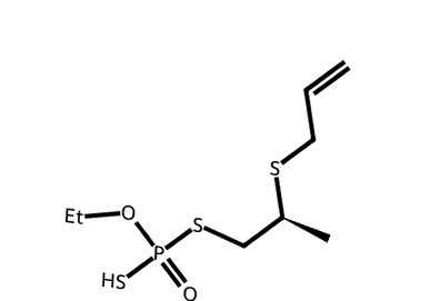 C=CCS[C@@H](C)CSP(=O)(S)OCC